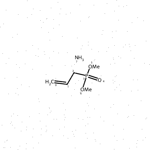 C=CCP(=O)(OC)OC.N